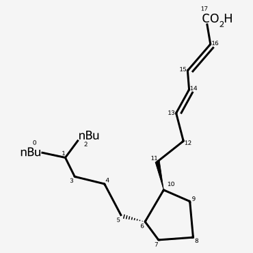 CCCCC(CCCC)CCC[C@H]1CCC[C@@H]1CCC=CC=CC(=O)O